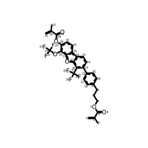 C=C(C)C(=O)OCCCc1ccc(-c2ccc3c(oc4c(OC(F)(F)F)c(OC(=O)C(=C)C)ccc43)c2C(F)(F)F)cc1